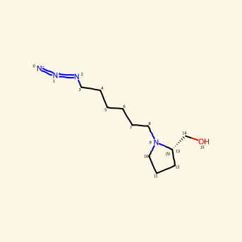 [N-]=[N+]=NCCCCCCN1CCC[C@H]1CO